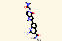 CCCN(CCC)C(=O)C1=Cc2ccc(-c3cc4c(=O)n(CC(=O)N(C)C)ccc4n3C)cc2N=C(N)C1